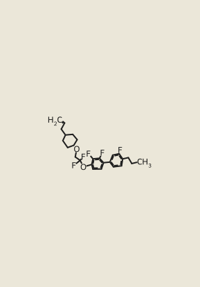 C=CCC1CCC(OCC(F)(F)Oc2ccc(-c3ccc(CCC)c(F)c3)c(F)c2F)CC1